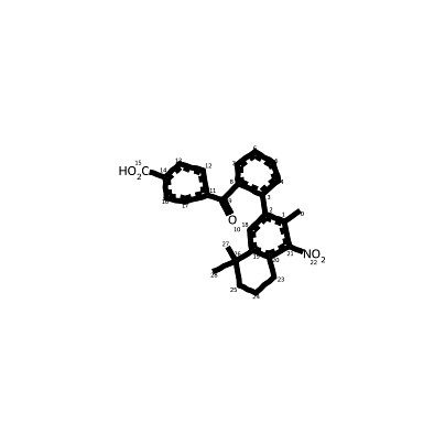 Cc1c(-c2ccccc2C(=O)c2ccc(C(=O)O)cc2)cc2c(c1[N+](=O)[O-])CCCC2(C)C